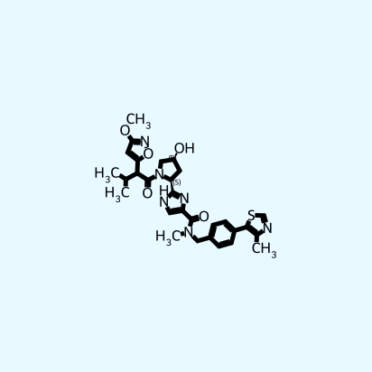 COc1cc(C(C(=O)N2C[C@H](O)C[C@H]2c2nc(C(=O)N(C)Cc3ccc(-c4scnc4C)cc3)c[nH]2)C(C)C)on1